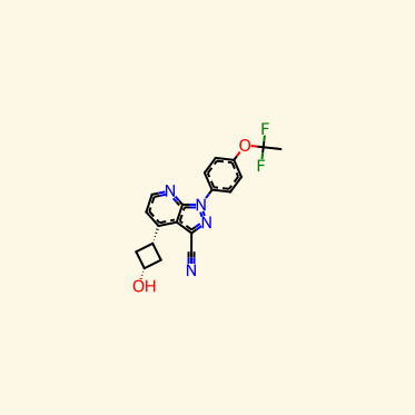 CC(F)(F)Oc1ccc(-n2nc(C#N)c3c2nccc3[C@H]2C[C@@H](O)C2)cc1